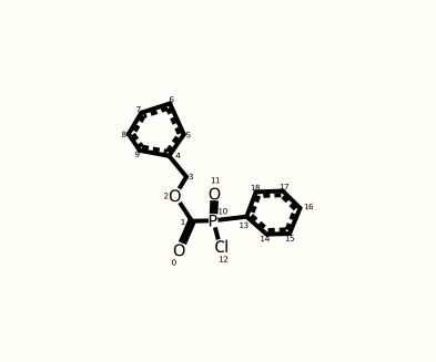 O=C(OCc1ccccc1)P(=O)(Cl)c1ccccc1